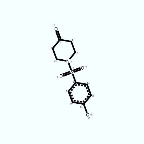 O=C1CCN(S(=O)(=O)c2ccc(O)cc2)CC1